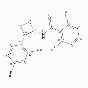 O=C(N[C@H]1CC[C@H]1c1ccc(F)cc1F)c1c(F)cccc1F